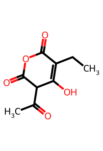 CCC1=C(O)C(C(C)=O)C(=O)OC1=O